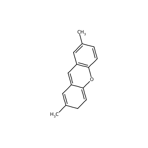 CC1=CC2=Cc3cc(C)ccc3OC2=CC1